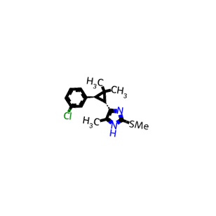 CSc1nc([C@@H]2[C@@H](c3cccc(Cl)c3)C2(C)C)c(C)[nH]1